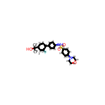 O=S(=O)(Nc1ccc(-c2ccc(C(O)(C(F)(F)F)C(F)(F)F)cc2F)cc1)c1ccc(N2CCOCC2)cc1